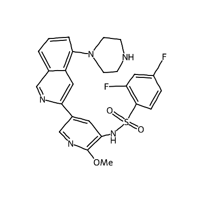 COc1ncc(-c2cc3c(N4CCNCC4)cccc3cn2)cc1NS(=O)(=O)c1ccc(F)cc1F